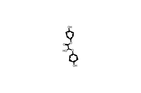 O=C(Oc1ccc(O)cc1)C(O)Oc1ccc(O)cc1